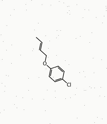 CC=CCOc1ccc(Cl)cc1